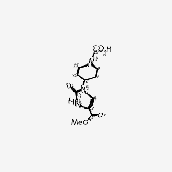 COC(=O)c1cn(C2CCN(C(=O)O)CC2)c(=O)[nH]1